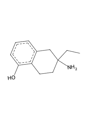 CCC1(N)CCc2c(O)cccc2C1